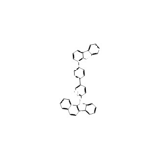 c1ccc2c(c1)ccc1c3ccccc3n(-c3ccc(-c4ccc(-c5cccc6c5sc5ccccc56)cc4)cn3)c21